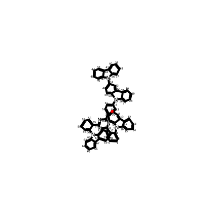 c1ccc(-n2c3ccccc3c3ccccc32)c(-c2nc(-c3ccc(-n4c5ccccc5c5cc(-n6c7ccccc7c7ccccc76)ccc54)cc3)nc(-c3ccccc3-n3c4ccccc4c4ccccc43)n2)c1